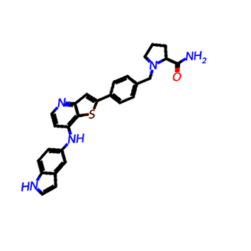 NC(=O)C1CCCN1Cc1ccc(-c2cc3nccc(Nc4ccc5[nH]ccc5c4)c3s2)cc1